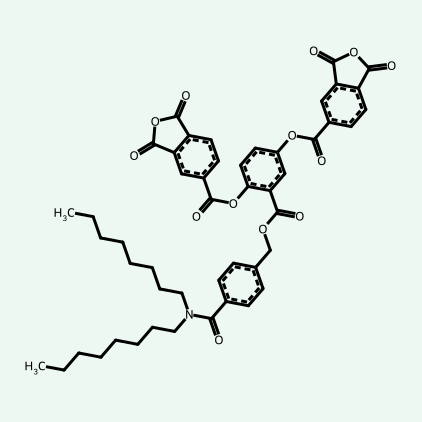 CCCCCCCCN(CCCCCCCC)C(=O)c1ccc(COC(=O)c2cc(OC(=O)c3ccc4c(c3)C(=O)OC4=O)ccc2OC(=O)c2ccc3c(c2)C(=O)OC3=O)cc1